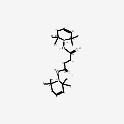 CC1(C)C=CCC(C)(C)N1OC(=O)CCC(=O)ON1C(C)(C)C=CCC1(C)C